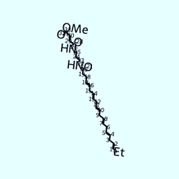 CCC=CCC=CCC=CCC=CCC=CCC=CCCC(=O)NCCCNC(=O)/C=C/C(=O)OC